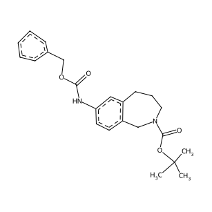 CC(C)(C)OC(=O)N1CCCc2cc(NC(=O)OCc3ccccc3)ccc2C1